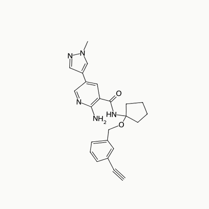 C#Cc1cccc(COC2(NC(=O)c3cc(-c4cnn(C)c4)cnc3N)CCCC2)c1